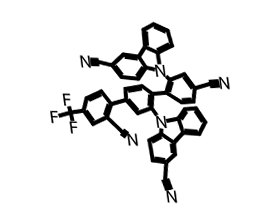 N#Cc1ccc(-c2ccc(-c3ccc(C(F)(F)F)cc3C#N)cc2-n2c3ccccc3c3cc(C#N)ccc32)c(-n2c3ccccc3c3cc(C#N)ccc32)c1